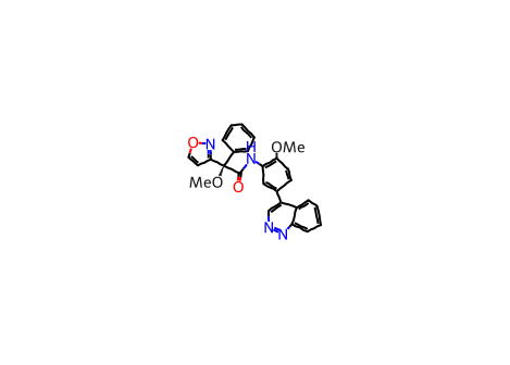 COc1ccc(-c2cnnc3ccccc23)cc1NC(=O)[C@@](OC)(c1ccccc1)c1ccon1